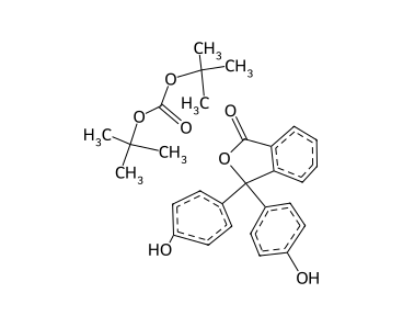 CC(C)(C)OC(=O)OC(C)(C)C.O=C1OC(c2ccc(O)cc2)(c2ccc(O)cc2)c2ccccc21